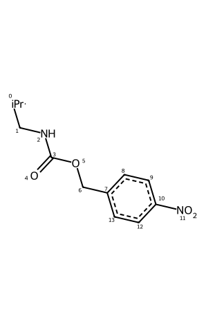 C[C](C)CNC(=O)OCc1ccc([N+](=O)[O-])cc1